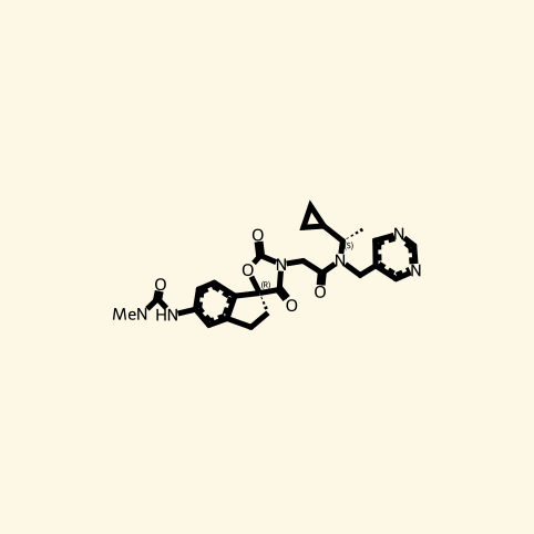 CNC(=O)Nc1ccc2c(c1)CC[C@@]21OC(=O)N(CC(=O)N(Cc2cncnc2)[C@@H](C)C2CC2)C1=O